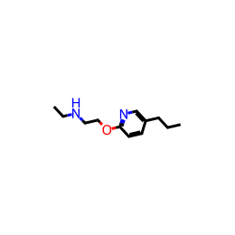 CCCc1ccc(OCCNCC)nc1